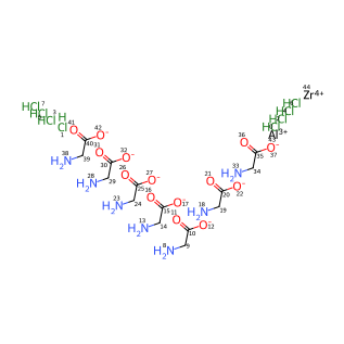 Cl.Cl.Cl.Cl.Cl.Cl.Cl.Cl.NCC(=O)[O-].NCC(=O)[O-].NCC(=O)[O-].NCC(=O)[O-].NCC(=O)[O-].NCC(=O)[O-].NCC(=O)[O-].[Al+3].[Zr+4]